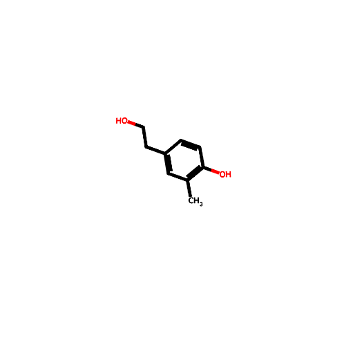 Cc1cc(CCO)ccc1O